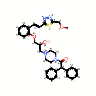 COCc1nnc(/C=C/c2ccccc2OCC(O)CN2CCN(C(=O)C(c3ccccc3)c3ccccc3)CC2)s1